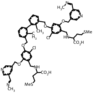 C/N=C\c1cncc(COc2cc(OCc3cccc(-c4cccc(COc5cc(OCc6cncc(/C=N/C)c6)c(CNC(CCSC)C(=O)O)cc5Cl)c4C)c3C)c(Cl)cc2CNC(CCSC)C(=O)O)c1